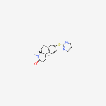 CN1C(=O)CC[C@]2(C)c3ccc(Sc4ncccn4)cc3CC[C@@H]12